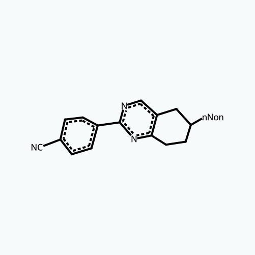 CCCCCCCCCC1CCc2nc(-c3ccc(C#N)cc3)ncc2C1